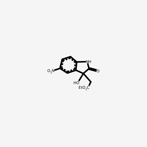 CCOC(=O)CC1(O)C(=O)Nc2ccc([N+](=O)[O-])cc21